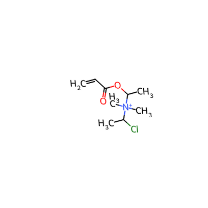 C=CC(=O)OC(C)[N+](C)(C)C(C)Cl